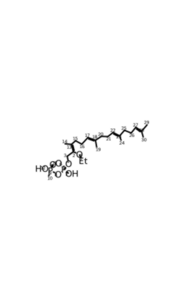 CCOC(COP(=O)(O)OP(C)(=O)O)=C(C)CC/C=C(\C)CC/C=C(\C)CCC=C(C)C